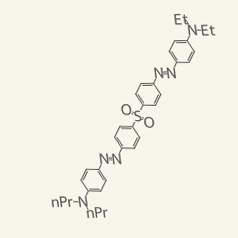 CCCN(CCC)c1ccc(N=Nc2ccc(S(=O)(=O)c3ccc(N=Nc4ccc(N(CC)CC)cc4)cc3)cc2)cc1